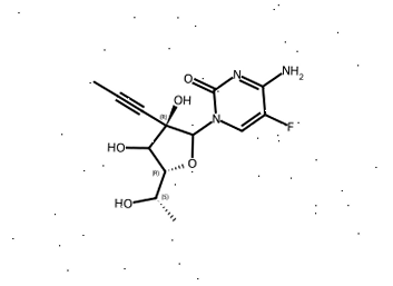 CC#C[C@@]1(O)C(O)[C@@H]([C@H](C)O)OC1n1cc(F)c(N)nc1=O